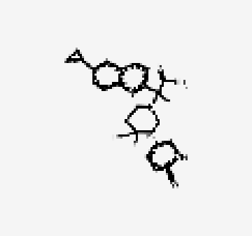 CC(C(N)=O)(c1ccc2cc(C3CC3)ccc2n1)N1CCC(F)(F)[C@@H](c2ccc(=O)[nH]c2)C1